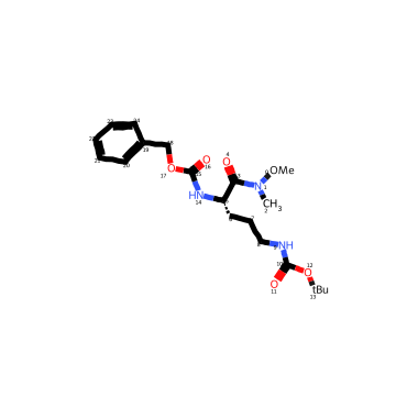 CON(C)C(=O)[C@H](CCCNC(=O)OC(C)(C)C)NC(=O)OCc1ccccc1